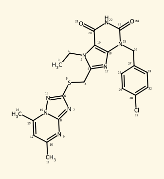 CCn1c(CSc2nc3nc(C)cc(C)n3n2)nc2c1c(=O)[nH]c(=O)n2Cc1ccc(Cl)cc1